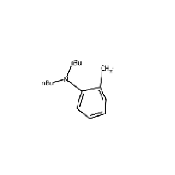 [CH2]c1ccccc1N(CCCC)CCCC